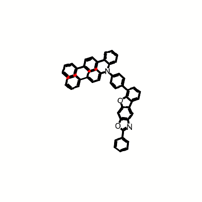 c1ccc(-c2ccc(-c3ccccc3N(c3ccc(-c4ccccc4)cc3)c3ccc(-c4cccc5c4oc4cc6oc(-c7ccccc7)nc6cc45)cc3)cc2)cc1